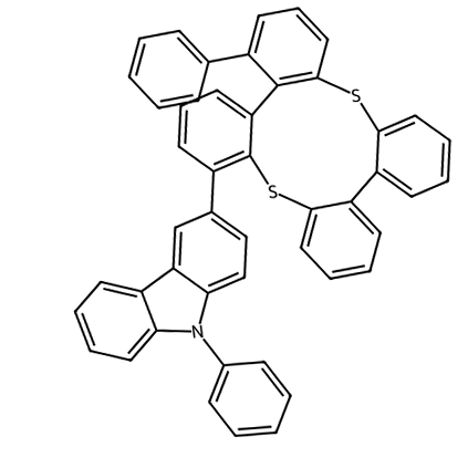 c1ccc(-c2cccc3c2-c2cccc(-c4ccc5c(c4)c4ccccc4n5-c4ccccc4)c2Sc2ccccc2-c2ccccc2S3)cc1